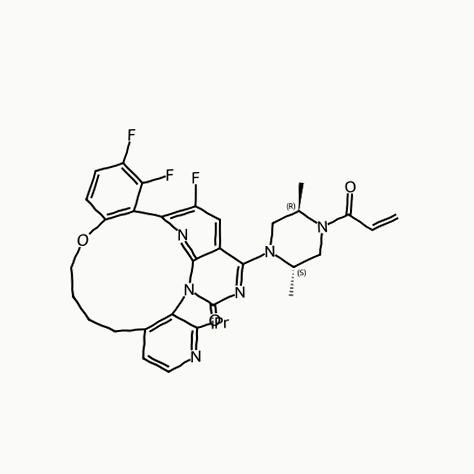 C=CC(=O)N1C[C@H](C)N(c2nc(=O)n3c4nc(c(F)cc24)-c2c(ccc(F)c2F)OCCCCc2ccnc(C(C)C)c2-3)C[C@H]1C